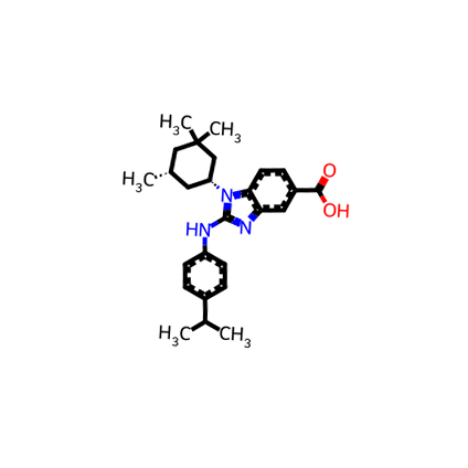 CC(C)c1ccc(Nc2nc3cc(C(=O)O)ccc3n2[C@@H]2C[C@H](C)CC(C)(C)C2)cc1